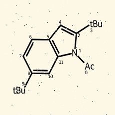 CC(=O)n1c(C(C)(C)C)cc2ccc(C(C)(C)C)cc21